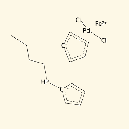 CCCCP[c-]1cccc1.[Cl][Pd][Cl].[Fe+2].c1cc[cH-]c1